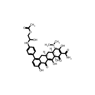 CC(=O)OCC(O)Nc1ccc(-c2ccc(O)c3c2C[C@H]2C[C@H]4[C@H](N(C)C)C(O)=C(C(N)=O)C(=O)[C@@]4(O)C(O)=C2C3=O)cc1